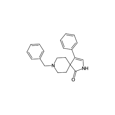 O=C1NC=C(c2ccccc2)C12CCN(Cc1ccccc1)CC2